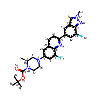 C[C@H]1CN(c2cc(F)c3nc(-c4cc(F)c5nn(C)cc5c4)ccc3c2)CCN1C(=O)OC(C)(C)C